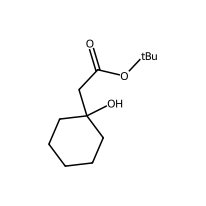 CC(C)(C)OC(=O)CC1(O)CCCCC1